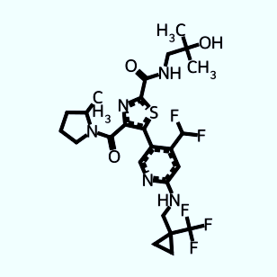 CC1CCCN1C(=O)c1nc(C(=O)NCC(C)(C)O)sc1-c1cnc(NCC2(C(F)(F)F)CC2)cc1C(F)F